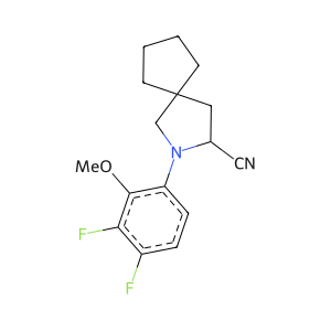 COc1c(N2CC3(CCCC3)CC2C#N)ccc(F)c1F